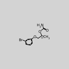 C[C@@H](COc1cccc(Br)c1)OC(N)=O